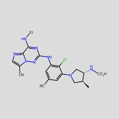 CCNc1nc(Nc2cc(C#N)cc(N3C[C@H](NC(=O)O)[C@@H](C)C3)c2Cl)nn2c(C#N)cnc12